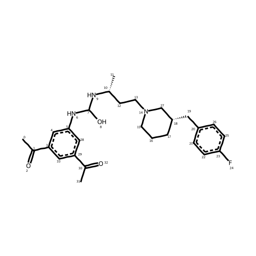 CC(=O)c1cc(NC(O)N[C@H](C)CCN2CCC[C@@H](Cc3ccc(F)cc3)C2)cc(C(C)=O)c1